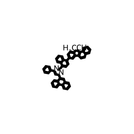 CC1(C)c2ccc(-c3ccc(-c4nc(-c5ccccc5)cc(-c5cc6ccccc6c6ccccc56)n4)c4ccccc34)cc2-c2ccc3ccccc3c21